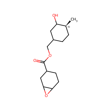 C[C@H]1CCC(COC(=O)C2CCC3OC3C2)CC1O